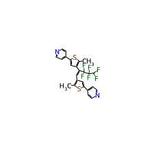 Cc1sc(-c2ccncc2)cc1C=C(c1cc(-c2ccncc2)sc1C)C(F)(F)C(F)(F)C(F)F